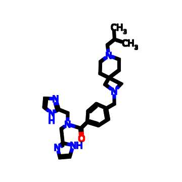 CC(C)CN1CCC2(CC1)CN(Cc1ccc(C(=O)N(Cc3ncc[nH]3)Cc3ncc[nH]3)cc1)C2